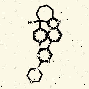 OC1(c2ccc(F)cc2)CCCCc2nc3ccc(-c4cnc(N5CCOCC5)nc4)cn3c21